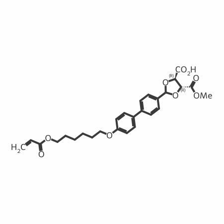 C=CC(=O)OCCCCCCOc1ccc(-c2ccc(C3O[C@@H](C(=O)O)[C@H](C(=O)OC)O3)cc2)cc1